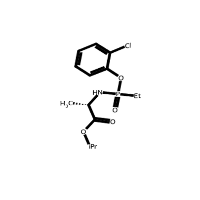 CCP(=O)(N[C@@H](C)C(=O)OC(C)C)Oc1ccccc1Cl